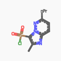 CCCc1ccc2nc(C)c(S(=O)(=O)Cl)n2n1